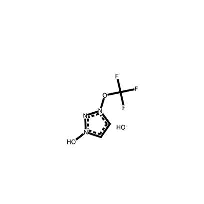 O[n+]1ccn(OC(F)(F)F)n1.[OH-]